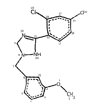 COc1cccc(CN2CN=C(c3ccc(Cl)cc3Cl)N2)c1